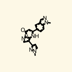 Cn1ccc(-c2cnn3c(=O)cc(-c4ccc5c(cnn5C)c4)[nH]c23)n1